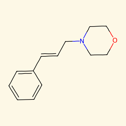 C(=Cc1ccccc1)CN1CCOCC1